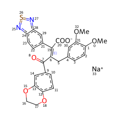 COc1ccc(C/C(C(=O)c2ccc3c(c2)OCCO3)=C(\C(=O)[O-])c2ccc3nsnc3c2)cc1OC.[Na+]